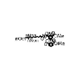 CCCCCCCCCC(CCCCCCCC)C(CCCCCCCCC)CCCCCCCC(N)=O.COC(=O)c1cccc(C(=O)OC)c1.COC(=O)c1cccc(C(=O)OC)c1